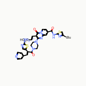 CC(C)(C)c1csc(NC(=O)c2ccn3c(=O)c(/C=C/C(=O)O)c(N4CCN(C(=O)C(=Cc5ccncc5)c5cnc(N)s5)CC4)nc3c2)n1